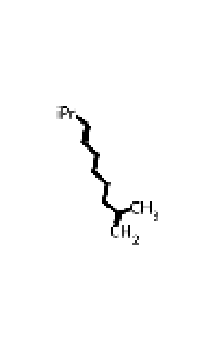 C=C(C)CCCCC=CC(C)C